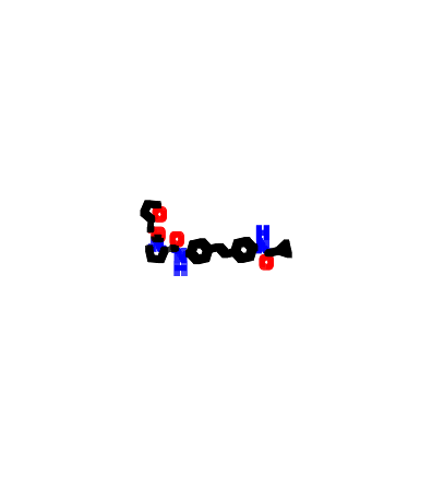 O=C(Nc1ccc(/C=C/c2ccc(NC(=O)[C@@H]3CCCN3OC[C@H]3CCCO3)cc2)cc1)C1CC1